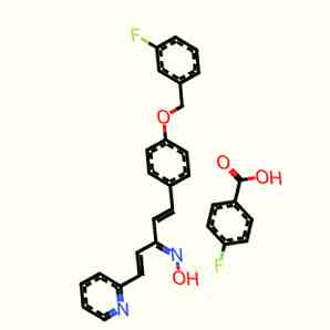 O=C(O)c1ccc(F)cc1.ON=C(C=Cc1ccc(OCc2cccc(F)c2)cc1)C=Cc1ccccn1